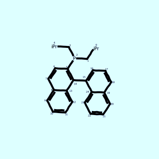 CC(C)CP(CC(C)C)c1ccc2ccccc2c1-c1cccc2ccccc12